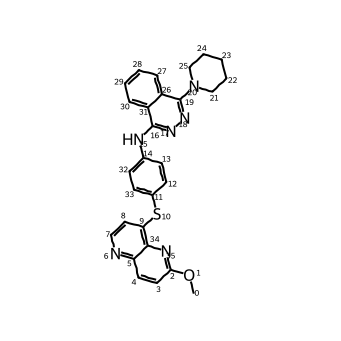 COc1ccc2nccc(Sc3ccc(Nc4nnc(N5CCCCC5)c5ccccc45)cc3)c2n1